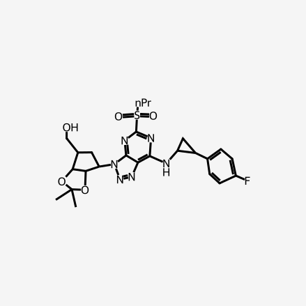 CCCS(=O)(=O)c1nc(NC2CC2c2ccc(F)cc2)c2nnn(C3CC(CO)C4OC(C)(C)OC43)c2n1